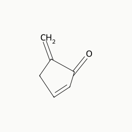 C=C1CC=CC1=O